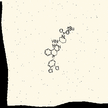 CC(C)(C)OC(=O)N1CCCC(Nc2ncc3c(n2)-c2ccccc2[C@@H](c2ccc(Cl)c(Cl)c2)C3)C1